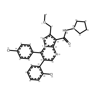 COCc1nn2c(-c3ccc(Cl)cc3)c(-c3ccccc3Cl)cnc2c1C(=O)NN1CCCC1